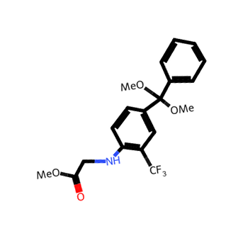 COC(=O)CNc1ccc(C(OC)(OC)c2ccccc2)cc1C(F)(F)F